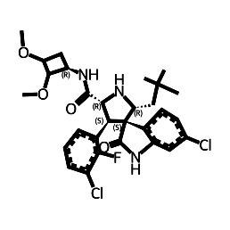 COC1C[C@@H](NC(=O)[C@@H]2N[C@H](CC(C)(C)C)[C@]3(C(=O)Nc4cc(Cl)ccc43)[C@H]2c2cccc(Cl)c2F)C1OC